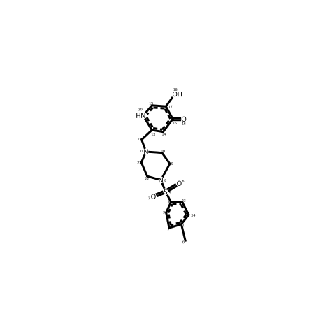 Cc1ccc(S(=O)(=O)N2CCN(Cc3cc(=O)c(O)c[nH]3)CC2)cc1